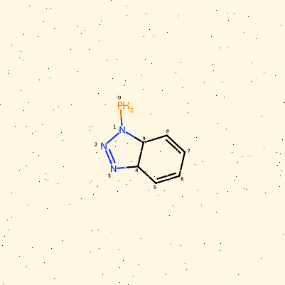 PN1N=NC2C=CC=CC21